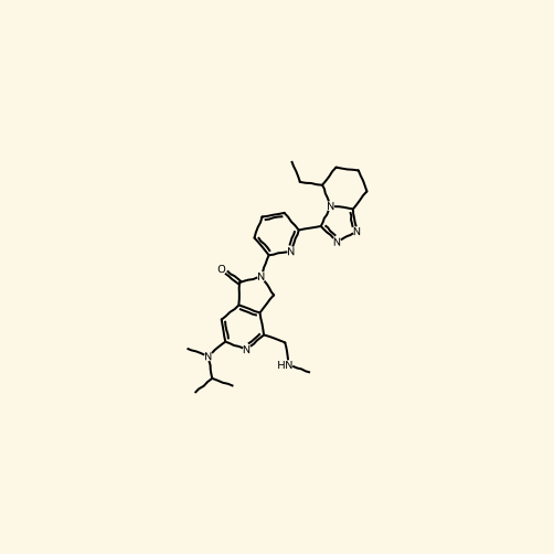 CCC1CCCc2nnc(-c3cccc(N4Cc5c(cc(N(C)C(C)C)nc5CNC)C4=O)n3)n21